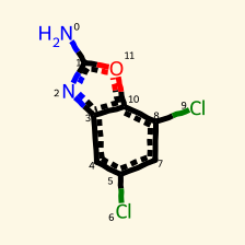 Nc1nc2cc(Cl)cc(Cl)c2o1